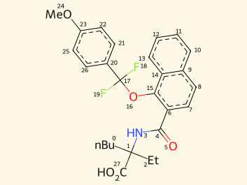 CCCCC(CC)(NC(=O)c1ccc2ccccc2c1OC(F)(F)c1ccc(OC)cc1)C(=O)O